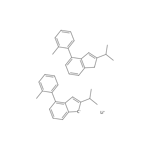 Cc1ccccc1-c1cccc2[cH-]c(C(C)C)cc12.Cc1ccccc1-c1cccc2c1C=C(C(C)C)C2.[Li+]